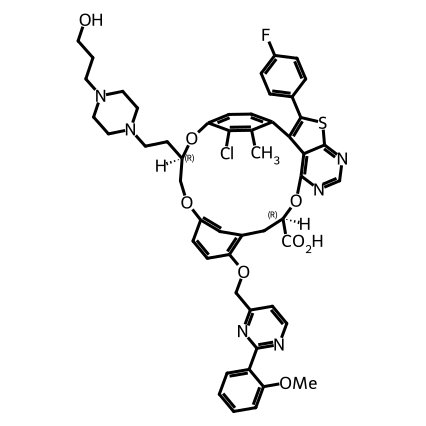 COc1ccccc1-c1nccc(COc2ccc3cc2C[C@H](C(=O)O)Oc2ncnc4sc(-c5ccc(F)cc5)c(c24)-c2ccc(c(Cl)c2C)O[C@H](CCN2CCN(CCCO)CC2)CO3)n1